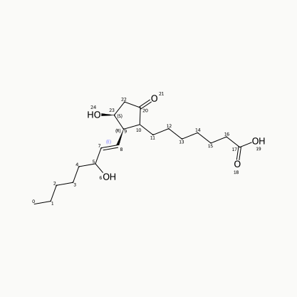 CCCCCC(O)/C=C/[C@@H]1C(CCCCCCC(=O)O)C(=O)C[C@@H]1O